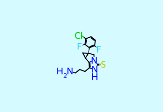 NCCCc1[nH]c(=S)n2c1C1C[C@]1(c1c(F)ccc(Cl)c1F)C2